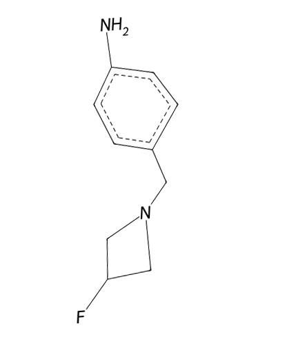 Nc1ccc(CN2CC(F)C2)cc1